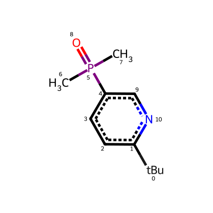 CC(C)(C)c1ccc(P(C)(C)=O)cn1